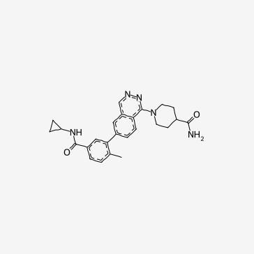 Cc1ccc(C(=O)NC2CC2)cc1-c1ccc2c(N3CCC(C(N)=O)CC3)nncc2c1